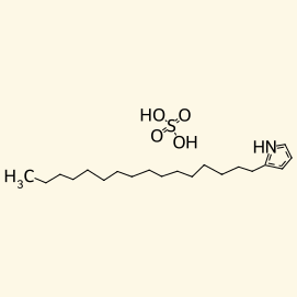 CCCCCCCCCCCCCCCCc1ccc[nH]1.O=S(=O)(O)O